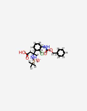 CC(CC(=O)O)(N[S@+]([O-])C(C)(C)C)c1cccc(NC(=O)OCc2ccccc2)c1Cl